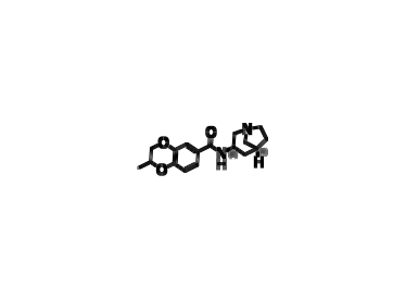 CC1COc2cc(C(=O)N[C@@H]3C[C@H]4CCN(C4)C3)ccc2O1